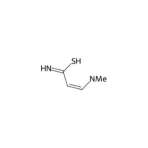 CN/C=C\C(=N)S